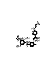 COc1c(NC(=O)c2ccc(C)c(N3C=C(c4ccc(NCCN(C)C)nc4)NN3)c2)cc(C(C)(C)C)cc1NS(C)(=O)=O